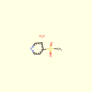 CS(=O)(=O)c1ccncc1.O